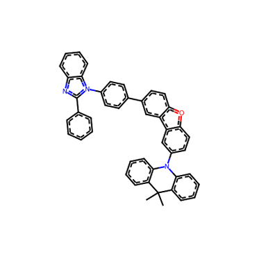 CC1(C)c2ccccc2N(c2ccc3oc4ccc(-c5ccc(-n6c(-c7ccccc7)nc7ccccc76)cc5)cc4c3c2)c2ccccc21